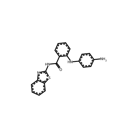 Nc1ccc(Nc2ccccc2C(=O)Nc2nc3ccccc3s2)cc1